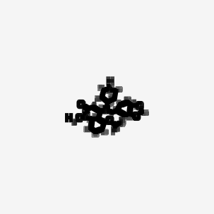 Cn1c(=O)cc(N(Cc2ccc3c(c2)OCO3)C2CCNCC2)c2c(OC(F)F)cccc21